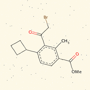 COC(=O)c1ccc(C2CCC2)c(C(=O)CBr)c1C